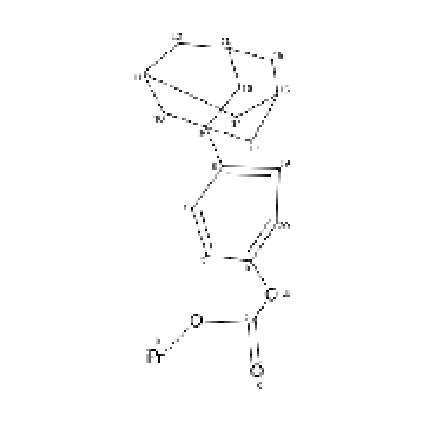 CC(C)OC(=O)Oc1ccc(C23CC4CC(CC(C4)C2)C3)cc1